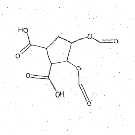 O=COC1CC(C(=O)O)C(C(=O)O)C1OC=O